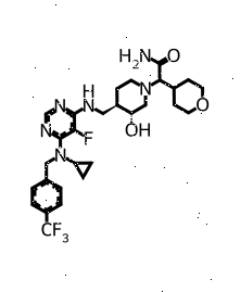 NC(=O)C(C1CCOCC1)N1CC[C@H](CNc2ncnc(N(Cc3ccc(C(F)(F)F)cc3)C3CC3)c2F)[C@@H](O)C1